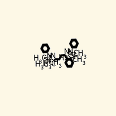 CC(CCC(=NN(c1ccccc1)[Si](C)(C)C)c1ccccc1)=NN(c1ccccc1)[Si](C)(C)C